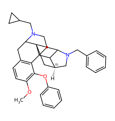 COc1ccc2c(c1Oc1ccccc1)C13CCN(CC4CC4)C(C2)C12CCC1C3[C@@H](CN1Cc1ccccc1)C2